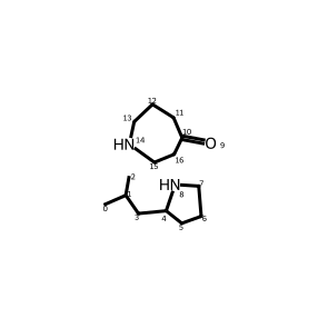 CC(C)CC1CCCN1.O=C1CCCNCC1